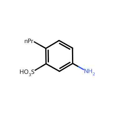 CCCc1ccc(N)cc1S(=O)(=O)O